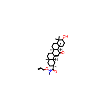 C=CCON(C)C(=O)[C@@]1(C)CC[C@]2(C)CC[C@]3(C)C(=CC(=O)[C@@H]4[C@@]5(C)CC[C@H](O)C(C)(C)C5CC[C@]43C)[C@@H]2C1